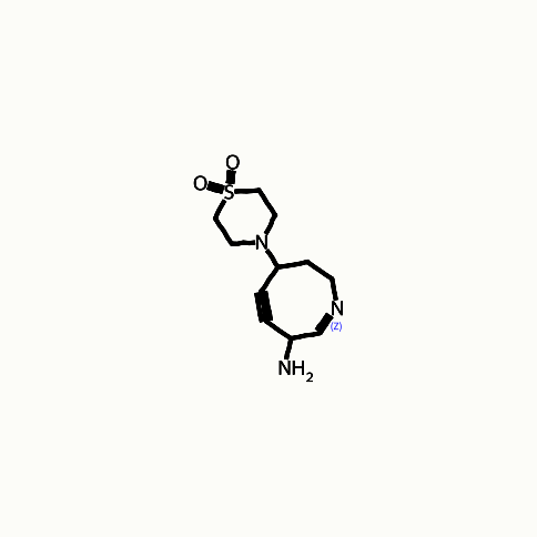 NC1C#CC(N2CCS(=O)(=O)CC2)CC/N=C\1